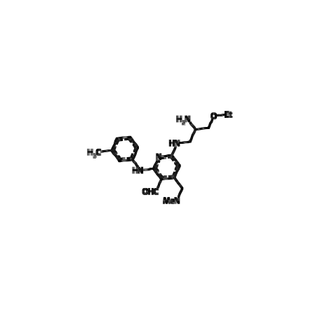 CCOCC(N)CNc1cc(CNC)c(C=O)c(Nc2cccc(C)c2)n1